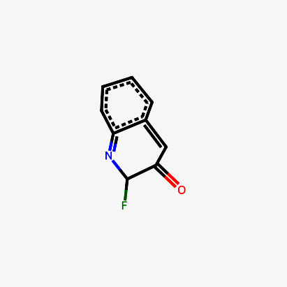 O=C1C=c2ccccc2=NC1F